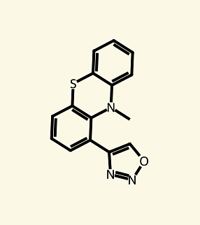 CN1c2ccccc2Sc2cccc(-c3conn3)c21